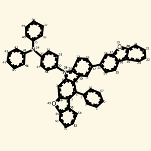 c1ccc(-c2c3c(cc4c2c2cc(-c5ccc6c(c5)oc5ccccc56)ccc2n4-c2ccc(N(c4ccccc4)c4ccccc4)cc2)oc2ccccc23)cc1